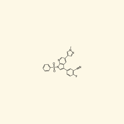 Cn1cc(-c2cnc3c(c2)c(-c2ccc(F)c(C#N)c2)cn3S(=O)(=O)c2ccccc2)cn1